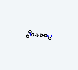 c1ccc(Nc2ccc(-c3ccc(-c4ccc(-c5ccc6c(c5)c5ccccc5n6-c5ccccc5)cc4)cc3)cc2)cc1